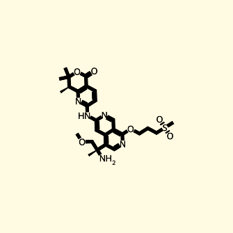 COC[C@@](C)(N)c1cnc(OCCCS(C)(=O)=O)c2cnc(Nc3ccc4c(n3)[C@@H](C)C(C)(C)OC4=O)cc12